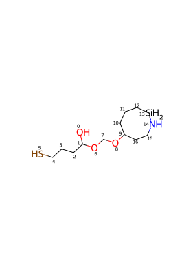 OC(CCCS)OCOC1CCC[SiH2]NCC1